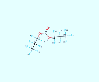 O=C(OC(F)(F)C(F)(F)C(F)(F)F)OC(F)(F)C(F)(F)C(F)(F)F